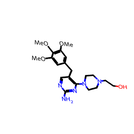 COc1cc(Cc2cnc(N)nc2N2CCN(CCO)CC2)cc(OC)c1OC